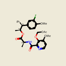 COc1ccc([C@H](C(C)C)[C@H](C)OC(=O)[C@H](C)NC(=O)c2nccc(OC)c2OCOC(C)=O)cc1F